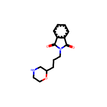 O=C1c2ccccc2C(=O)N1CCCC1CNCCO1